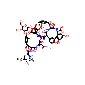 CN[C@H](CC(C)C)C(=O)NC1C(=O)N[C@@H](CC(N)=O)C(=O)N[C@H]2C(=O)N[C@H]3C(=O)NC(C(=O)N[C@@H](C(=O)O)c4cc(O)cc(O)c4-c4cc3ccc4O)[C@H](O)c3ccc(c(Cl)c3)Oc3cc2cc(c3OC2O[C@H](CO)[C@@H](O)[C@H](O)[C@H]2OC2C[C@](C)(N)[C@H](O)[C@H](C)O2)Oc2ccc(cc2Cl)[C@H]1O